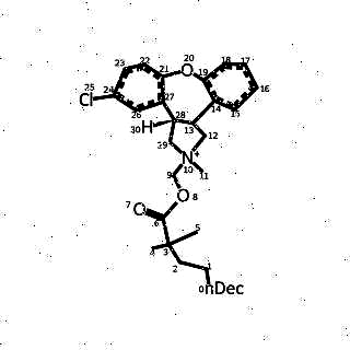 CCCCCCCCCCCCC(C)(C)C(=O)OC[N+]1(C)CC2c3ccccc3Oc3ccc(Cl)cc3[C@H]2C1